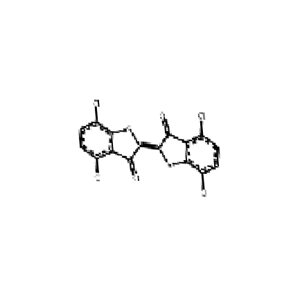 O=C1C(=C2Sc3c(Cl)ccc(Cl)c3C2=O)Sc2c(Cl)ccc(Cl)c21